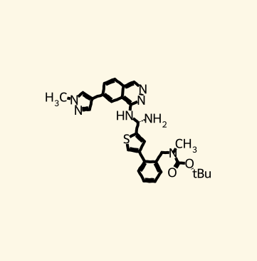 CN(Cc1ccccc1-c1csc([C@@H](N)Nc2nncc3ccc(-c4cnn(C)c4)cc23)c1)C(=O)OC(C)(C)C